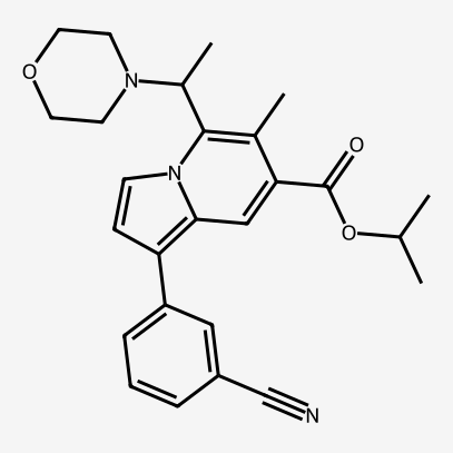 Cc1c(C(=O)OC(C)C)cc2c(-c3cccc(C#N)c3)ccn2c1C(C)N1CCOCC1